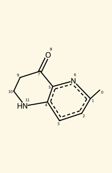 Cc1ccc2c(n1)C(=O)CCN2